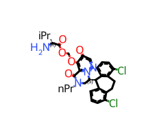 CCCN1C[C@H](C2c3cccc(Cl)c3CCc3c(Cl)cccc32)n2ncc(=O)c(OCOC(=O)[C@H](N)C(C)C)c2C1=O